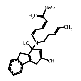 C=C(/C=C\C=C/N(CCC=CC)C1(C)C=C(C)CC2=C1Cc1ccccc12)NC